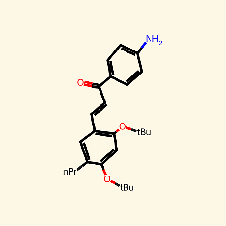 CCCc1cc(/C=C/C(=O)c2ccc(N)cc2)c(OC(C)(C)C)cc1OC(C)(C)C